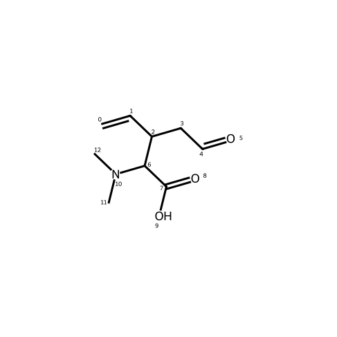 C=CC(CC=O)C(C(=O)O)N(C)C